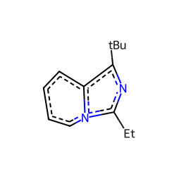 CCc1nc(C(C)(C)C)c2ccccn12